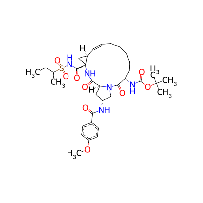 CCC(C)S(=O)(=O)NC(=O)[C@@]12C[C@H]1/C=C\CCCCC[C@H](NC(=O)OC(C)(C)C)C(=O)N1C[C@H](NC(=O)c3ccc(OC)cc3)C[C@H]1C(=O)N2